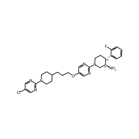 N[C@H]1CN(c2ncc(OCCCC3CCN(c4ncc(Cl)cn4)CC3)cn2)CC[C@@H]1c1ccccc1F